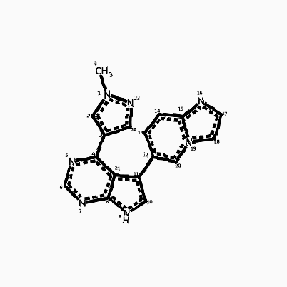 Cn1cc(-c2ncnc3[nH]cc(-c4ccc5nccn5c4)c23)cn1